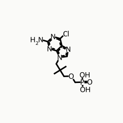 CC(C)(COCP(=O)(O)O)Cn1cnc2c(Cl)nc(N)nc21